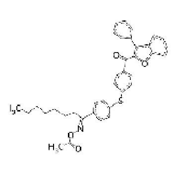 CCCCCCC/C(=N\OC(C)=O)c1ccc(Sc2ccc(C(=O)c3oc4ccccc4c3-c3ccccc3)cc2)cc1